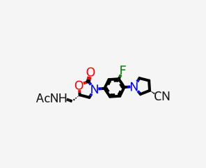 CC(=O)NC[C@H]1CN(c2ccc(N3CC[C@H](C#N)C3)c(F)c2)C(=O)O1